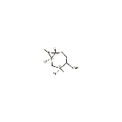 CC[C@]1(C)C[C@H]2C(C)[C@@H]2CCC1NC